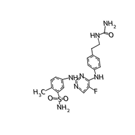 Cc1ccc(Nc2ncc(F)c(Nc3ccc(CCNC(N)=O)cc3)n2)cc1S(N)(=O)=O